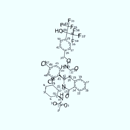 CS(=O)(=O)N[C@H]1CCCC[C@@H]1N1C(=O)c2ccccc2[C@@H](C(=O)NOCc2ccc(C(O)(C(F)(F)F)C(F)(F)F)cc2)[C@@H]1c1ccc(Cl)cc1Cl